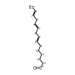 CCC=CCC=CCC=CCCCCCC=O